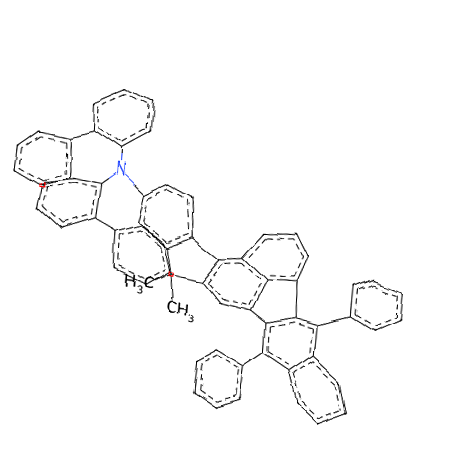 CC1(C)c2cc(N(c3ccccc3-c3ccccc3)c3ccccc3-c3ccccc3)ccc2-c2c1cc1c3c(cccc23)-c2c-1c(-c1ccccc1)c1ccccc1c2-c1ccccc1